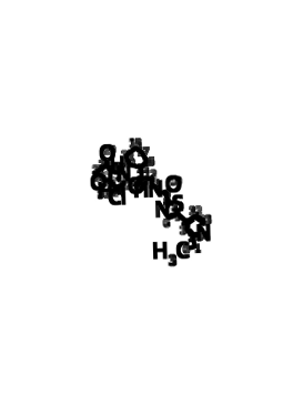 CCc1cc(-c2cnc(C(=O)NCC(=O)C3CCCCC3N3C[C@H](Cl)[C@H]4OCC(=O)[C@H]43)s2)ccn1